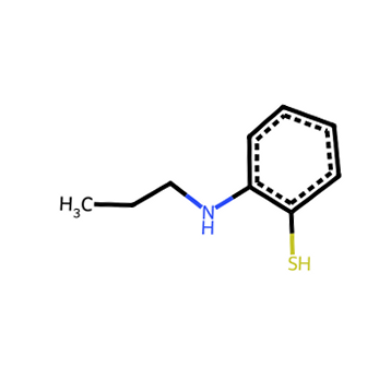 CCCNc1ccccc1S